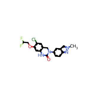 Cn1cc2cc(N3Cc4cc(Cl)c(OCC(F)F)cc4NC3=O)ccc2n1